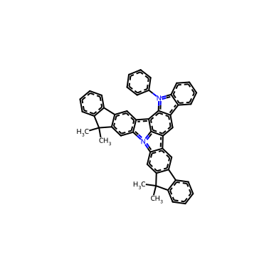 CC1(C)c2ccccc2-c2cc3c4cc5c6ccccc6n(-c6ccccc6)c5c5c6cc7c(cc6n(c3cc21)c45)C(C)(C)c1ccccc1-7